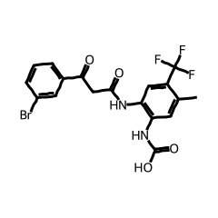 Cc1cc(NC(=O)O)c(NC(=O)CC(=O)c2cccc(Br)c2)cc1C(F)(F)F